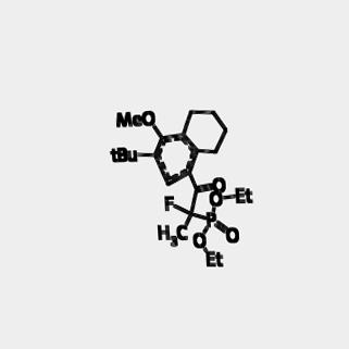 CCOP(=O)(OCC)C(C)(F)C(=O)c1cc(C(C)(C)C)c(OC)c2c1CCCC2